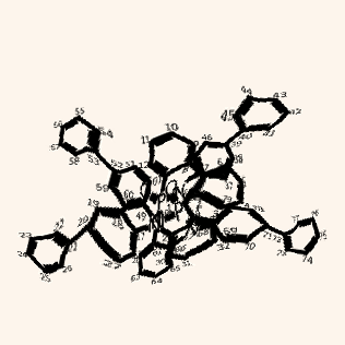 O=P1(c2ccccc2-c2ccccc2P2(=O)N(c3ccc(-c4ccccc4)cc3)c3ccccc3N2c2ccc(-c3ccccc3)cc2)N(c2ccc(-c3ccccc3)cc2)c2ccccc2N1c1ccc(-c2ccccc2)cc1